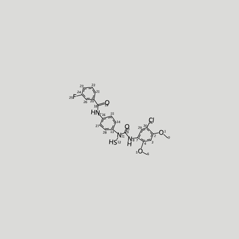 COc1cc(OC)c(NC(=O)N(S)c2ccc(NC(=O)c3cccc(F)c3)cc2)cc1Cl